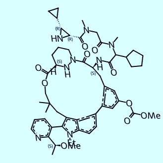 CCn1c(-c2cccnc2[C@H](C)OC)c2c3cc(ccc31)-c1cc(cc(OC(=O)OC)c1)C[C@H](NC(=O)C(C1CCCC1)N(C)C(=O)CN(C)C(=O)[C@@H]1N[C@@H]1C1CC1)C(=O)N1CCC[C@H](N1)C(=O)OCC(C)(C)C2